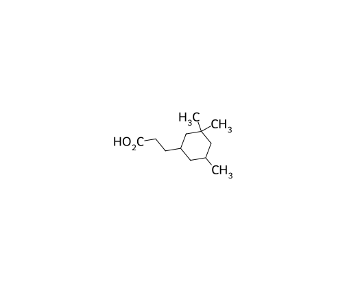 CC1CC(CCC(=O)O)CC(C)(C)C1